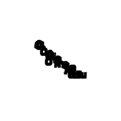 CN(C(=O)OC(C)(C)C)[C@@H]1CCC(c2ccc(-n3ccc(OCc4ccccc4)cc3=O)cn2)C1